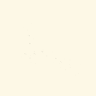 C=CC(=O)N1CC(CCn2c(=O)ccc3ccc(Nc4ccc(N5CCN(C(C)=O)CC5)c(Cl)c4)nc32)C1